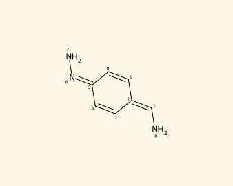 NC=C1C=CC(=NN)C=C1